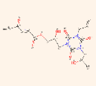 C=CCn1c(=O)n(CC(O)CC)c(=O)n(CC(O)COC(=O)/C=C/C(=O)OC)c1=O